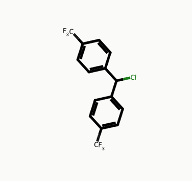 FC(F)(F)c1ccc(C(Cl)c2ccc(C(F)(F)F)cc2)cc1